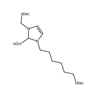 CCCCCCCCCCCCCCCCN1C=CN(CCCCCCCCCCC)C1CCCCCCCC